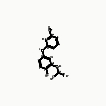 Fc1ccc(Oc2cccc(Br)n2)cc1OC(F)F